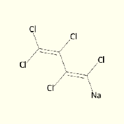 [Na][C](Cl)=C(Cl)C(Cl)=C(Cl)Cl